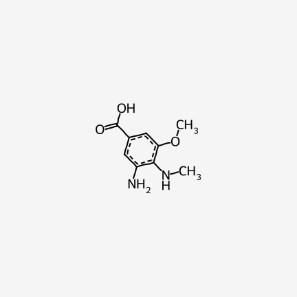 CNc1c(N)cc(C(=O)O)cc1OC